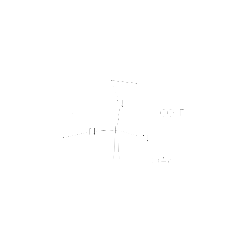 CCOC(=O)N(OC(C)=O)P(=O)(N1CC1)N1CC1